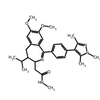 CNC(=O)CC1N=C(c2ccc(-c3c(C)nn(C)c3C)cc2)c2cc(OC)c(OC)cc2CC1C(C)C